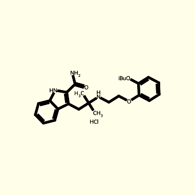 CC(C)COc1ccccc1OCCNC(C)(C)Cc1c(C(N)=O)[nH]c2ccccc12.Cl